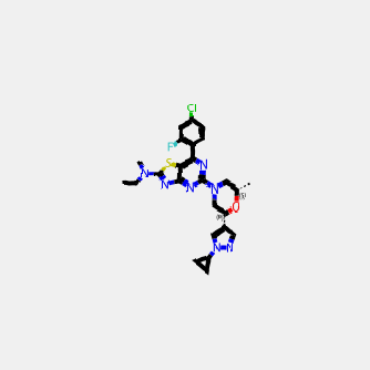 CCN(C)c1nc2nc(N3C[C@@H](c4cnn(C5CC5)c4)O[C@@H](C)C3)nc(-c3ccc(Cl)cc3F)c2s1